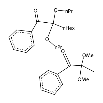 CCCCCCC(OCCC)(OCCC)C(=O)c1ccccc1.COC(C)(OC)C(=O)c1ccccc1